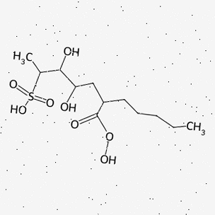 CCCCCC(CC(O)C(O)C(C)S(=O)(=O)O)C(=O)OO